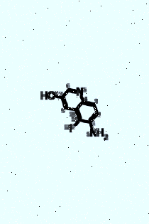 Nc1ccc2ncc(O)cc2c1F